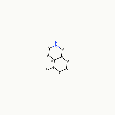 CC1CCCC2CNCCC12